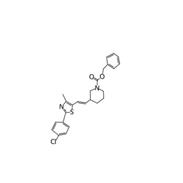 Cc1nc(-c2ccc(Cl)cc2)sc1C=CC1CCCN(C(=O)OCc2ccccc2)C1